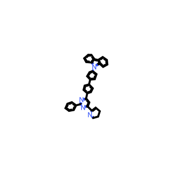 C1=NC(c2cc(-c3ccc(-c4ccc(-n5c6ccccc6c6ccccc65)cc4)cc3)nc(-c3ccccc3)n2)=CCC1